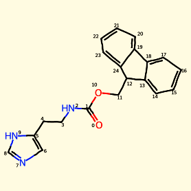 O=C(NCCc1cnc[nH]1)OCC1c2ccccc2-c2ccccc21